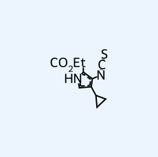 CCOC(=O)c1[nH]cc(C2CC2)c1N=C=S